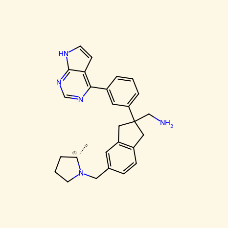 C[C@H]1CCCN1Cc1ccc2c(c1)CC(CN)(c1cccc(-c3ncnc4[nH]ccc34)c1)C2